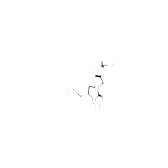 CN1C(=O)N(CC(=O)OC(C)(C)C)C[C@@H]1CN